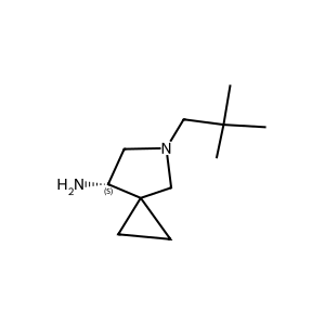 CC(C)(C)CN1C[C@@H](N)C2(CC2)C1